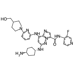 N[C@H]1CC[C@H](Nc2cc(Nc3cccc(N4CCC(CO)CC4)n3)c3ncc(C(=O)Nc4ccncc4F)n3n2)CC1